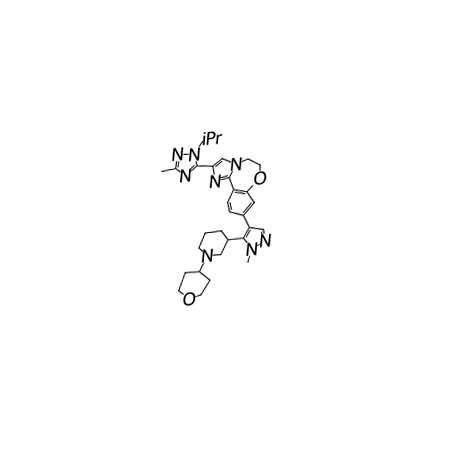 Cc1nc(-c2cn3c(n2)-c2ccc(-c4cnn(C)c4C4CCCN(C5CCOCC5)C4)cc2OCC3)n(C(C)C)n1